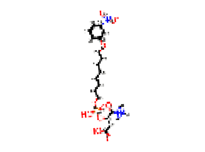 C[N+](C)(C)C([O-])[C@@H](CC(=O)O)OP(=O)(O)OCCCCCCCCOc1cccc([N+](=O)[O-])c1